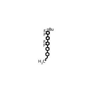 C=CCCC1CCC(C2CC=C(c3ccc(-c4ccc(-c5ccc(CCCC)c(F)c5F)cc4)c(F)c3F)CC2)CC1